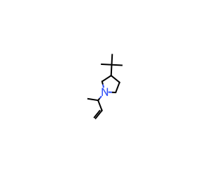 C=CC(C)N1CCC(C(C)(C)C)C1